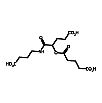 O=C(O)CCCNC(=O)C(CCC(=O)O)OC(=O)CCCC(=O)O